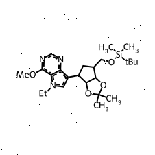 CCn1cc(C2CC(CO[Si](C)(C)C(C)(C)C)C3OC(C)(C)OC23)c2ncnc(OC)c21